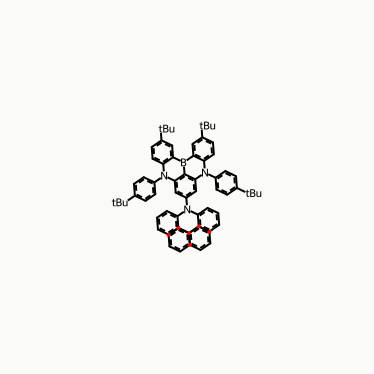 CC(C)(C)c1ccc(N2c3ccc(C(C)(C)C)cc3B3c4cc(C(C)(C)C)ccc4N(c4ccc(C(C)(C)C)cc4)c4cc(N(c5ccccc5-c5ccccc5)c5ccccc5-c5ccccc5)cc2c43)cc1